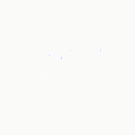 CN(C)CCCOc1ccc2c(c1)ncn2-c1ccc2cc(N3CCC(N(C)C)CC3)ccc2n1